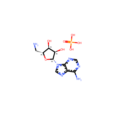 NC[C@H]1O[C@@H](n2cnc3c(N)ncnc32)[C@H](O)[C@@H]1O.O=P(O)(O)O